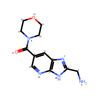 NCc1nc2cc(C(=O)N3CCOCC3)cnc2[nH]1